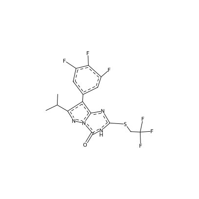 CC(C)c1nn2c(=O)[nH]c(SCC(F)(F)F)nc2c1-c1cc(F)c(F)c(F)c1